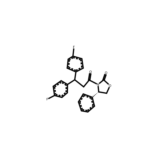 O=C(CC(c1ccc(F)cc1)c1ccc(F)cc1)N1C(=O)OC[C@@H]1c1ccccc1